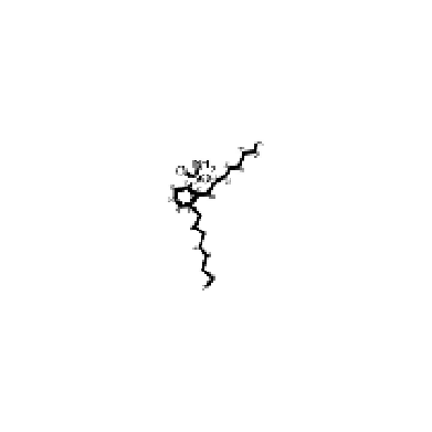 CCCCCCCCc1cccc(S(N)(=O)=O)c1CCCCCCCC